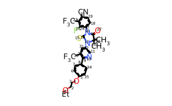 CCOCCOc1ccc(-c2ncc(N3C(=S)N(c4ccc(C#N)c(C(F)(F)F)c4F)C(=O)C3(C)C)cc2C(F)(F)F)cc1